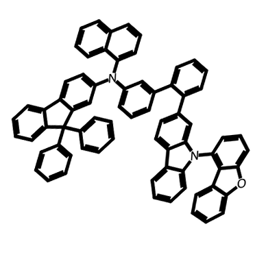 c1ccc(C2(c3ccccc3)c3ccccc3-c3ccc(N(c4cccc(-c5ccccc5-c5ccc6c7ccccc7n(-c7cccc8oc9ccccc9c78)c6c5)c4)c4cccc5ccccc45)cc32)cc1